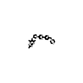 Cc1nc2nc(C)c(C[C@@H]3CCN(c4cnc(-c5ccc(CN6CCOCC6)nc5)nc4)C3)c(C)n2n1